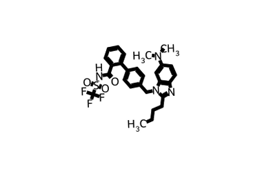 CCCCc1nc2ccc(N(C)C)cc2n1Cc1ccc(-c2ccccc2C(=O)NS(=O)(=O)C(F)(F)F)cc1